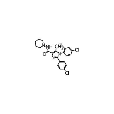 Cc1c(C(=O)NN2CCCCC2)nc(-c2ccc(Cl)cc2)n1-c1ccc(Cl)cc1Cl